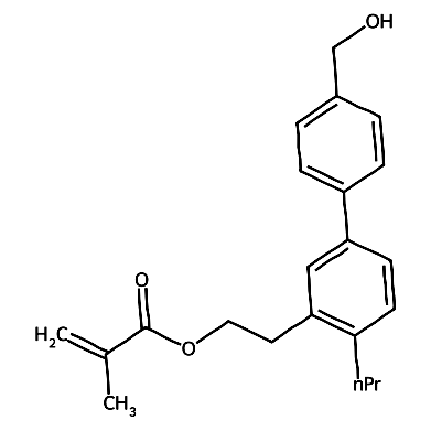 C=C(C)C(=O)OCCc1cc(-c2ccc(CO)cc2)ccc1CCC